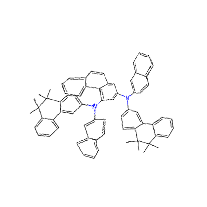 CC1(C)c2ccccc2-c2cc(N(c3ccc4ccccc4c3)c3cc(N(c4ccc5c(c4)-c4ccccc4C(C)(C)C5(C)C)c4ccc5ccccc5c4)c4c(ccc5ccccc54)c3)ccc2C1(C)C